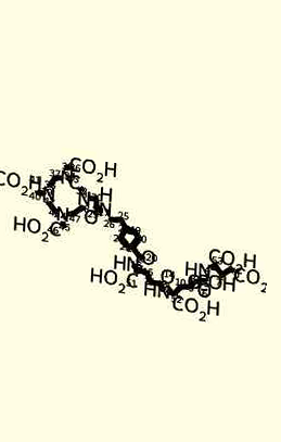 O=C(O)CCC(NP(=O)(O)OCCC(NC(=O)CCC(NC(=O)c1ccc(CCNC(=O)CN2CCN(CC(=O)O)CCN(CC(=O)O)CCN(CC(=O)O)CC2)cc1)C(=O)O)C(=O)O)C(=O)O